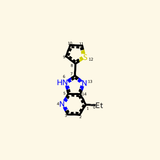 CCc1ccnc2[nH]c(-c3cccs3)nc12